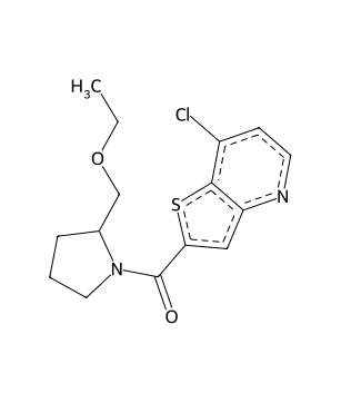 CCOCC1CCCN1C(=O)c1cc2nccc(Cl)c2s1